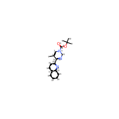 CC1=CN(C(=O)OC(C)(C)C)CN=C1c1ccc2ccccc2n1